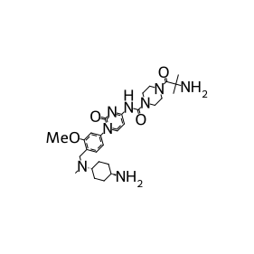 COc1cc(-n2ccc(NC(=O)N3CCN(C(=O)C(C)(C)N)CC3)nc2=O)ccc1CN(C)[C@H]1CC[C@H](N)CC1